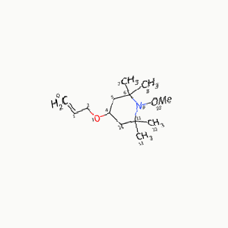 C=CCOC1CC(C)(C)N(OC)C(C)(C)C1